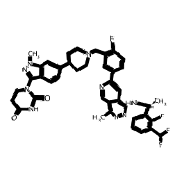 Cc1nnc(N[C@H](C)c2cccc(C(F)F)c2F)c2cc(-c3ccc(F)c(CN4CCC(c5ccc6c(N7CCC(=O)NC7=O)nn(C)c6c5)CC4)c3)ncc12